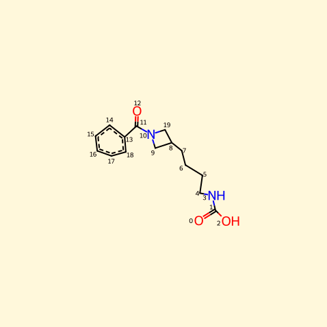 O=C(O)NCCCCC1CN(C(=O)c2ccccc2)C1